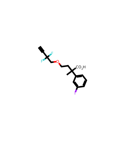 C#CC(F)(F)COCCC(C)(C(=O)O)c1cccc(I)c1